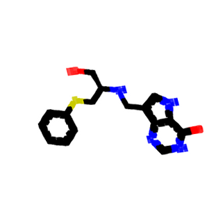 O=c1[nH]cnc2c(CN[C@H](CO)CSc3ccccc3)c[nH]c12